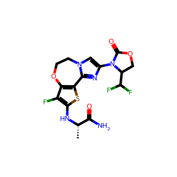 C[C@H](Nc1sc2c(c1F)OCCn1cc(N3C(=O)OCC3C(F)F)nc1-2)C(N)=O